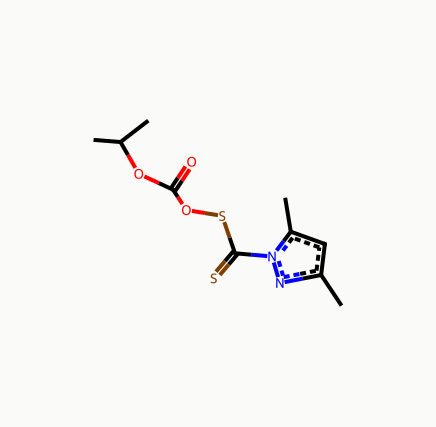 Cc1cc(C)n(C(=S)SOC(=O)OC(C)C)n1